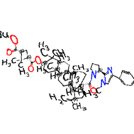 C=C(C)[C@@H]1CC[C@]2(C(=O)N3CCC[C@H]3c3nc(-c4ccccc4)cn3C)CC[C@]3(C)[C@H](CC[C@@H]4[C@@]5(C)CC[C@H](OC(=O)[C@H]6C[C@@H](C(=O)OCCCC)C6(C)C)C(C)(C)[C@@H]5CC[C@]43C)[C@@H]12